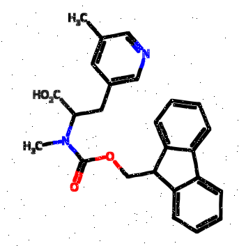 Cc1cncc(CC(C(=O)O)N(C)C(=O)OCC2c3ccccc3-c3ccccc32)c1